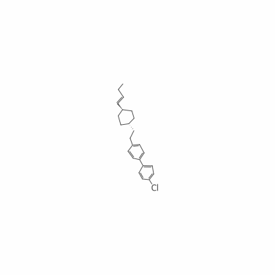 CCC=C[C@H]1CC[C@H](CCc2ccc(-c3ccc(Cl)cc3)cc2)CC1